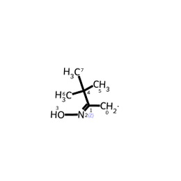 [CH2]/C(=N/O)C(C)(C)C